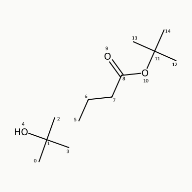 CC(C)(C)O.CCCC(=O)OC(C)(C)C